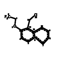 FC(F)(F)COc1ccc2ccccc2c1CCl